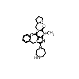 Cn1c(=O)n(CC2CCCO2)c(=O)c2c1nc(N1CCCNCC1)n2Cc1ccccc1